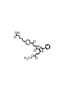 CCOC(=O)/C=C/c1sc(-c2ccccc2)nc1C(=O)NCC(=O)N1CCN(CCCCC(=O)O)CC1